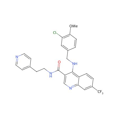 COc1ccc(CNc2c(C(=O)NCCc3ccncc3)cnc3cc(C(F)(F)F)ccc23)cc1Cl